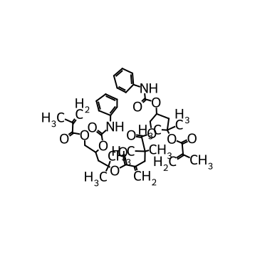 C=C(C)C(=O)OCC(CC(C)(C)OC(=O)C(=C)CC(C)(C)C(=O)OCC(CC(C)(C)OC(=O)C(=C)C)OC(=O)Nc1ccccc1)OC(=O)Nc1ccccc1